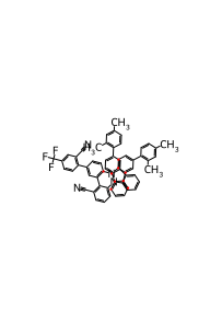 Cc1ccc(-c2ccc3c(c2)c2ccccc2n3-c2ccc(-c3ccc(C(F)(F)F)cc3C#N)cc2-c2c(C#N)cccc2-n2c3ccccc3c3cc(-c4ccc(C)cc4C)ccc32)c(C)c1